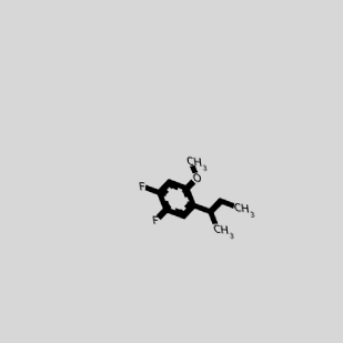 CCC(C)c1cc(F)c(F)cc1OC